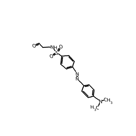 CN(C)c1ccc(/N=N/c2ccc(S(=O)(=O)NCC=O)cc2)cc1